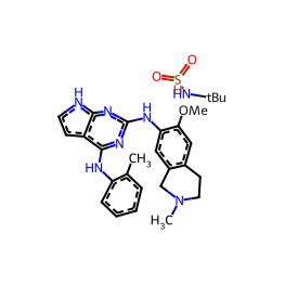 CC(C)(C)N[SH](=O)=O.COc1cc2c(cc1Nc1nc(Nc3ccccc3C)c3cc[nH]c3n1)CN(C)CC2